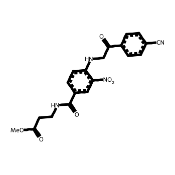 COC(=O)CCNC(=O)c1ccc(NCC(=O)c2ccc(C#N)cc2)c([N+](=O)[O-])c1